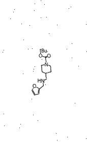 CC(C)(C)OC(=O)N1CCC(CNCc2ccco2)CC1